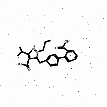 CCCN1NC(C(C)C)=C(C(=O)O)C1Cc1ccc(-c2ccccc2C(=O)O)cc1